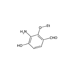 CCOc1c(C=O)ccc(O)c1N